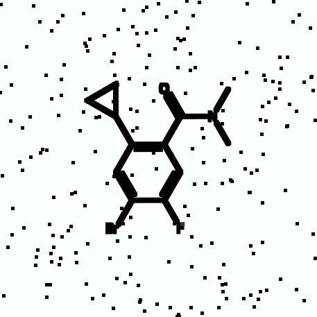 CN(C)C(=O)c1cc(F)c(Br)cc1C1CC1